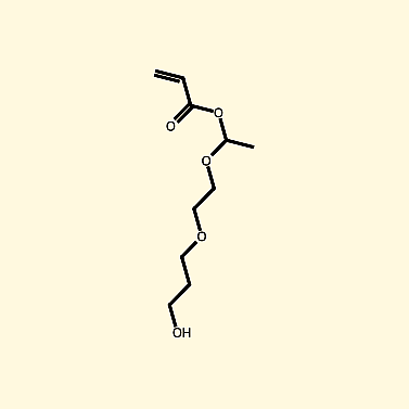 C=CC(=O)OC(C)OCCOCCCO